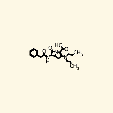 CCCN(CCC)C1=C(C(=O)O)N2C(=O)C(NC(=O)Cc3ccccc3)C2C1